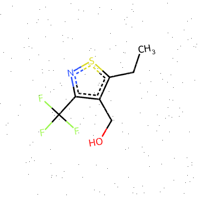 CCc1snc(C(F)(F)F)c1CO